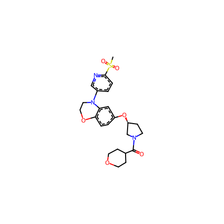 CS(=O)(=O)c1ccc(N2CCOc3ccc(O[C@H]4CCN(C(=O)C5CCOCC5)C4)cc32)cn1